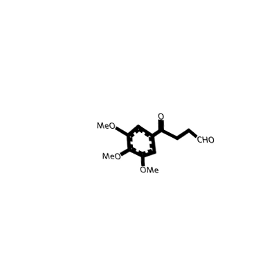 COc1cc(C(=O)CCC=O)cc(OC)c1OC